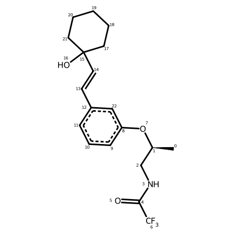 C[C@@H](CNC(=O)C(F)(F)F)Oc1cccc(/C=C/C2(O)CCCCC2)c1